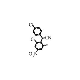 Cc1cc([N+](=O)[O-])cc(Cl)c1C(C#N)c1ccc(Cl)cc1